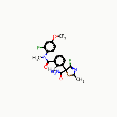 Cc1c(C(=O)N(C)c2ccc(OC(F)(F)F)cc2F)cccc1C1(C(N)=O)SC(C)N=C1F